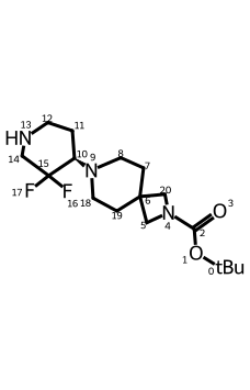 CC(C)(C)OC(=O)N1CC2(CCN([C@@H]3CCNCC3(F)F)CC2)C1